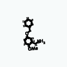 COc1ccc(OCc2ccccc2)cc1CN